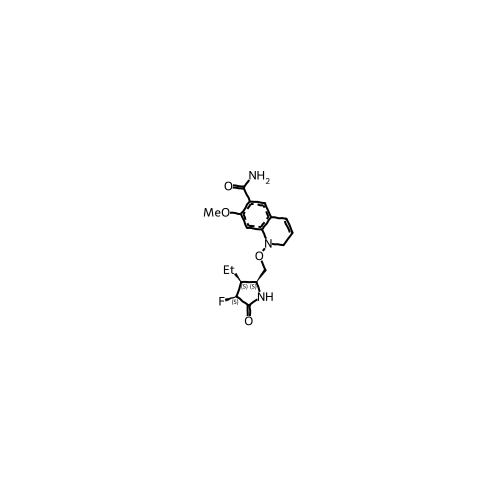 CC[C@@H]1[C@H](F)C(=O)N[C@@H]1CON1CC=Cc2cc(C(N)=O)c(OC)cc21